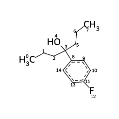 CCCC(O)(CCC)c1ccc(F)cc1